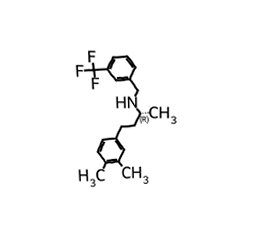 Cc1ccc(CC[C@@H](C)NCc2cccc(C(F)(F)F)c2)cc1C